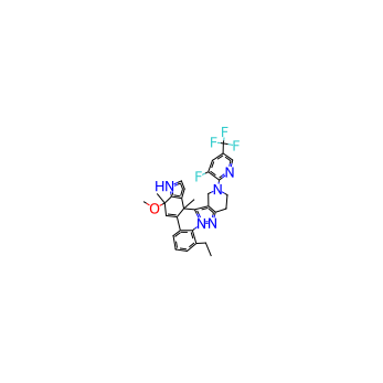 CCc1cccc2c1-n1nc3c(c1C1(C)C2=CC(C)(OC)c2[nH]ccc21)CN(c1ncc(C(F)(F)F)cc1F)CC3